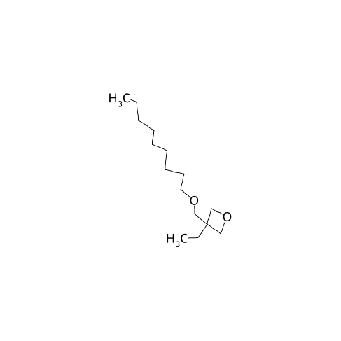 CCCCCCCCCOCC1(CC)COC1